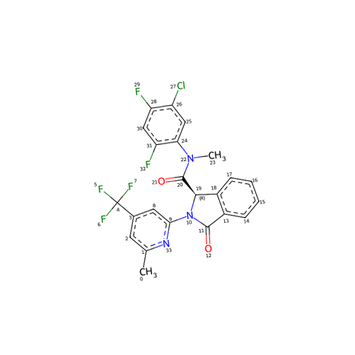 Cc1cc(C(F)(F)F)cc(N2C(=O)c3ccccc3[C@@H]2C(=O)N(C)c2cc(Cl)c(F)cc2F)n1